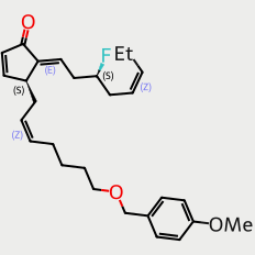 CC/C=C\C[C@H](F)C/C=C1/C(=O)C=C[C@@H]1C/C=C\CCCCOCc1ccc(OC)cc1